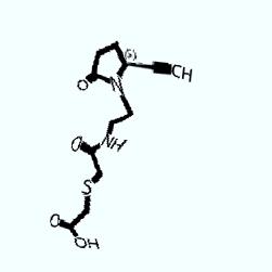 C#C[C@@H]1CCC(=O)N1CCNC(=O)CSCC(=O)O